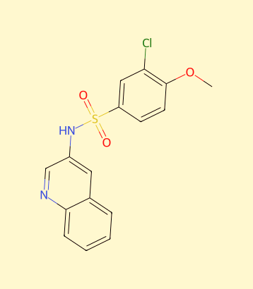 COc1ccc(S(=O)(=O)Nc2cnc3ccccc3c2)cc1Cl